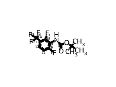 CC(C)(C)OC(=O)Nc1c(F)ccc(C(F)(F)F)c1F